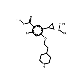 CC(C)(C)OC(=O)c1cc(C2CC2)c(OCCC2CCNCC2)cc1F.CC(C)(C)OC=O